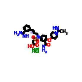 CC(=N)N1CCC(Oc2ccc(N(C/C=C/c3cccc(C(=N)N)c3)S(=O)(=O)CC(=O)O)cc2C(N)=O)CC1.Cl.Cl